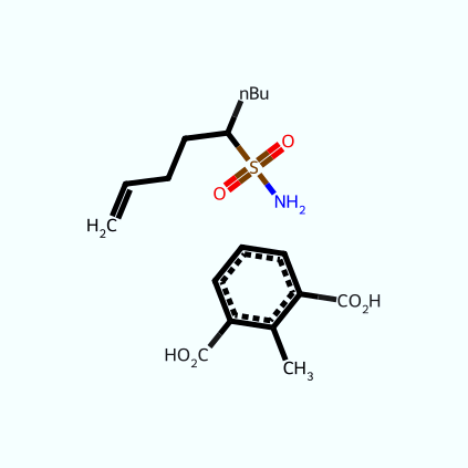 C=CCCC(CCCC)S(N)(=O)=O.Cc1c(C(=O)O)cccc1C(=O)O